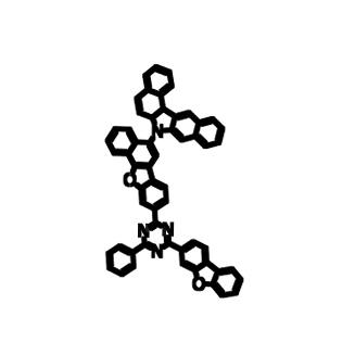 C1=CC2C(c3ccccc31)c1cc3ccccc3cc1N2c1cc2c3ccc(-c4nc(-c5ccccc5)nc(-c5ccc6c(c5)oc5ccccc56)n4)cc3oc2c2ccccc12